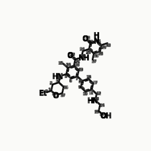 CCC1CC(Nc2cc(-c3ccc(CNCCO)cc3)cc(C(=O)NCc3c(C)cc(C)[nH]c3=O)c2C)CCO1